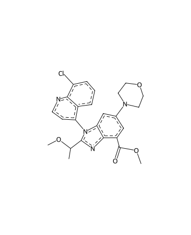 COC(=O)c1cc(N2CCOCC2)cc2c1nc(C(C)OC)n2-c1ccnc2c(Cl)cccc12